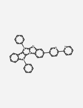 c1ccc(-n2c3c4ccccc4n(-c4ccccc4)c3n3c4ccc(-c5ccc(-c6ccccn6)nc5)cc4nc23)cc1